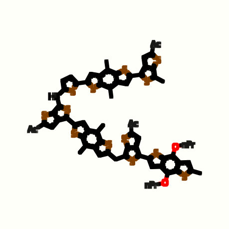 CCCOc1c2cc(-c3sc(Cc4cc5c(C)c6sc(-c7sc(Bc8ccc(-c9cc%10c(C)c%11sc(-c%12sc(C)c%13sc(C(C)=O)cc%12%13)cc%11c(C)c%10s9)s8)c8sc(C(C)=O)cc78)cc6c(C)c5s4)c4sc(C(C)=O)cc34)sc2c(OCCC)c2cc(C)sc12